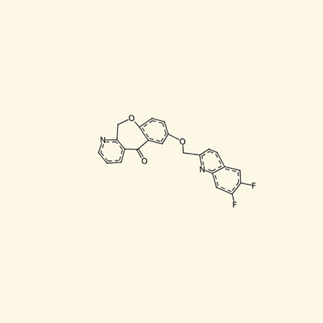 O=C1c2cc(OCc3ccc4cc(F)c(F)cc4n3)ccc2OCc2ncccc21